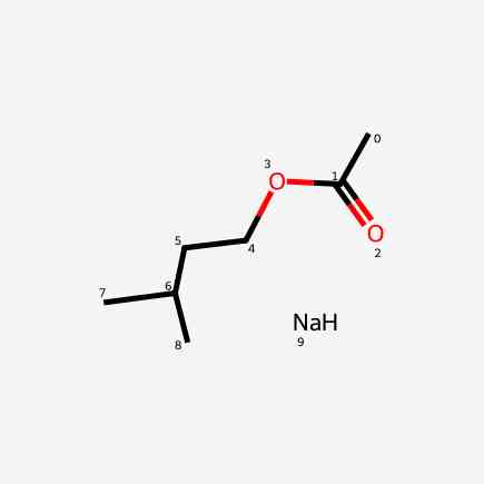 CC(=O)OCCC(C)C.[NaH]